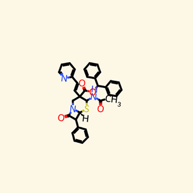 CC(=O)NC1S[C@@H]2C(c3ccccc3)C(=O)N2CC1(C=Cc1ccccn1)C(=O)OC(c1ccccc1)c1ccccc1